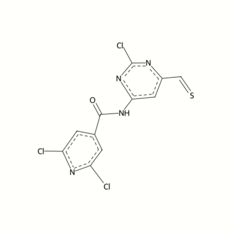 O=C(Nc1cc(C=S)nc(Cl)n1)c1cc(Cl)nc(Cl)c1